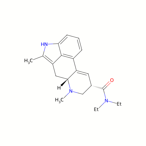 CCN(CC)C(=O)[C@H]1C=C2c3cccc4[nH]c(C)c(c34)C[C@H]2N(C)C1